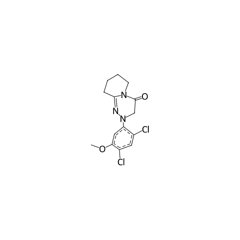 COc1cc(N2CC(=O)N3CCCCC3=N2)c(Cl)cc1Cl